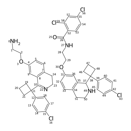 NCCOc1ccc2c(c1)C(C1(c3ccc(Cl)cc3)CCC1)=NCC2.O=C(NCCOc1ccc2c(c1)C(C1(c3ccc(Cl)cc3)CCC1)NCC2)c1ccc(Cl)cc1Cl